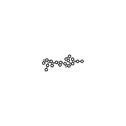 c1ccc(-c2ccc(-n3c4ccccc4c4c3ccc3c5ccc6oc7cc(-c8ccc9c%10c(cccc8%10)-c8cc(-n%10c%11ccccc%11c%11c%10ccc%10c%12ccc%13oc%14ccccc%14c%13c%12n(-c%12ccc(-c%13ccccc%13)cc%12)c%10%11)ccc8-9)ccc7c6c5n(-c5cc6c7c(cccc7c5)-c5ccccc5-6)c34)cc2)cc1